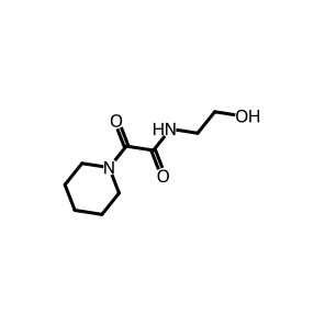 O=C(NCCO)C(=O)N1CCCCC1